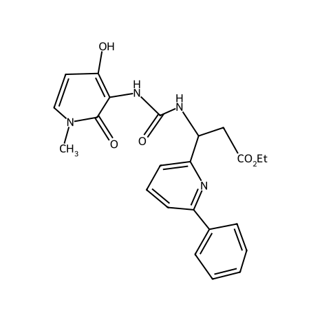 CCOC(=O)CC(NC(=O)Nc1c(O)ccn(C)c1=O)c1cccc(-c2ccccc2)n1